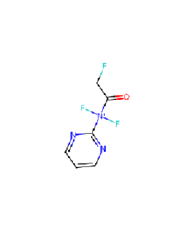 O=C(CF)[N+](F)(F)c1ncccn1